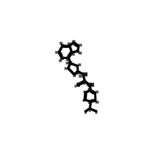 CC(C)c1ccc(NC(=O)NC2CCN(c3ncnc4ccsc34)C2)cc1